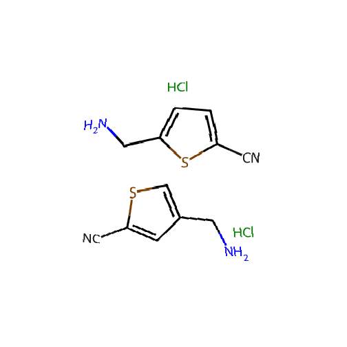 Cl.Cl.N#Cc1cc(CN)cs1.N#Cc1ccc(CN)s1